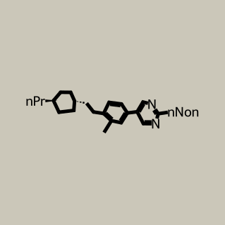 CCCCCCCCCc1ncc(-c2ccc(CC[C@H]3CC[C@H](CCC)CC3)c(C)c2)cn1